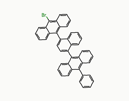 Brc1c2ccccc2c(-c2ccc(-c3c4ccccc4c(-c4ccccc4)c4ccccc34)c3ccccc23)c2ccccc12